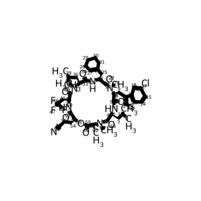 CC(C)C[C@@H]1NC(=O)[C@H](Cc2csc3ccc(Cl)cc23)N(C)C(=O)[C@H](CC2=CCCCC2)NC(=O)[C@H](CC(C)C)N(C)C(=O)[C@H](CC(F)(F)F)NC(=O)[C@@H](CCC#N)OC(=O)[C@H](C)N(C)C1=O